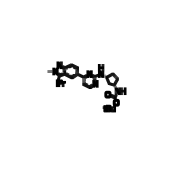 CC(C)c1c2cc(-c3ccnc(N[C@@H]4CC[C@H](NC(=O)OC(C)(C)C)C4)n3)ccc2nn1C